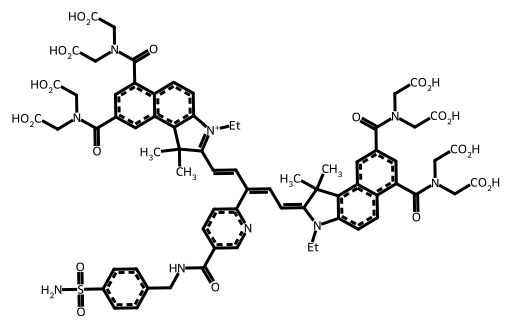 CCN1/C(=C/C=C(/C=C/C2=[N+](CC)c3ccc4c(C(=O)N(CC(=O)O)CC(=O)O)cc(C(=O)N(CC(=O)O)CC(=O)O)cc4c3C2(C)C)c2ccc(C(=O)NCc3ccc(S(N)(=O)=O)cc3)cn2)C(C)(C)c2c1ccc1c(C(=O)N(CC(=O)O)CC(=O)O)cc(C(=O)N(CC(=O)O)CC(=O)O)cc21